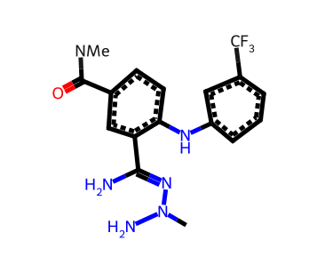 CNC(=O)c1ccc(Nc2cccc(C(F)(F)F)c2)c(/C(N)=N/N(C)N)c1